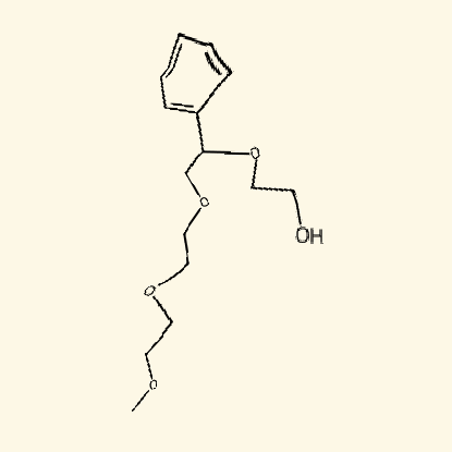 COCCOCCOCC(OCCO)c1ccccc1